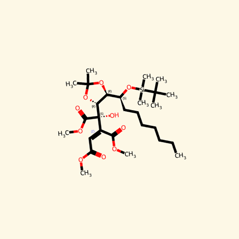 CCCCCCC[C@H](O[Si](C)(C)C(C)(C)C)[C@@H]1OC(C)(C)O[C@H]1[C@](O)(C(=O)OC)/C(=C/C(=O)OC)C(=O)OC